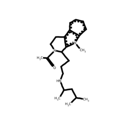 CC(=O)N1CCc2c(n(C)c3ccccc23)C1CCCNC(C)CC(C)C